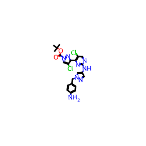 CC(C)(C)OC(=O)n1cc(Cl)c(-c2nc(Nc3cnn(Cc4ccc(N)cc4)c3)ncc2Cl)n1